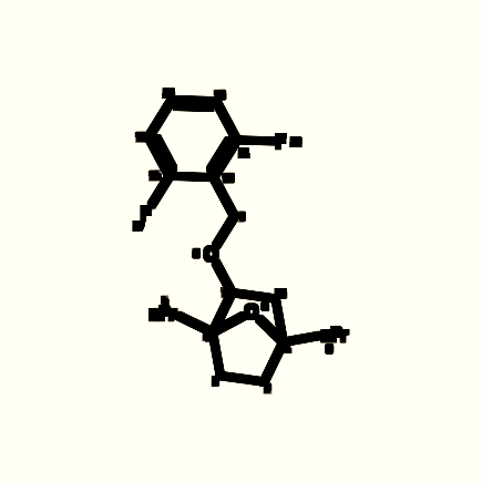 CCCC12CCC(CCC)(O1)C(OCc1c(F)cccc1F)C2